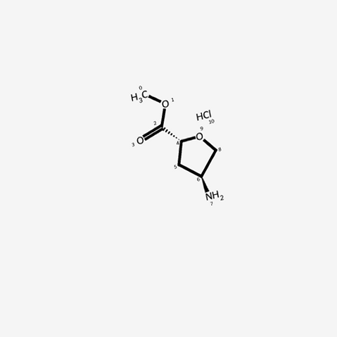 COC(=O)[C@H]1C[C@H](N)CO1.Cl